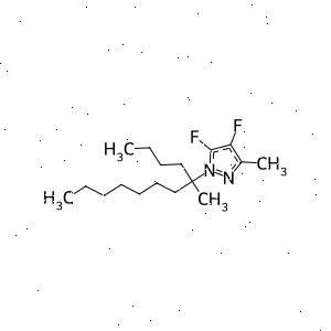 CCCCCCCC(C)(CCCC)n1nc(C)c(F)c1F